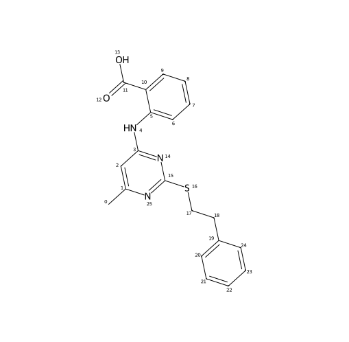 Cc1cc(Nc2ccccc2C(=O)O)nc(SCCc2ccccc2)n1